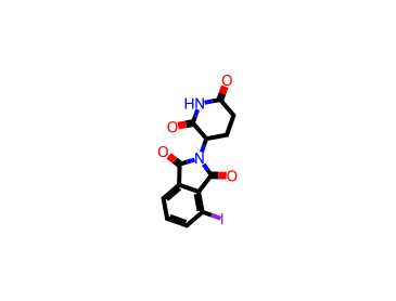 O=C1CCC(N2C(=O)c3cccc(I)c3C2=O)C(=O)N1